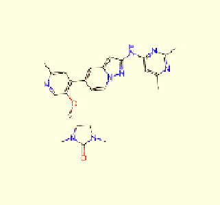 Cc1cc(-c2ccn3nc(Nc4cc(C)nc(C)n4)cc3c2)c(OC[C@@H]2CN(C)C(=O)N2C)cn1